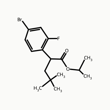 CC(C)OC(=O)C(CC(C)(C)C)c1ccc(Br)cc1F